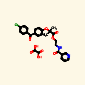 CC(C)(Oc1ccc(C(=O)c2ccc(Cl)cc2)cc1)C(=O)OCCNC(=O)c1cccnc1.O=C(O)C(=O)O